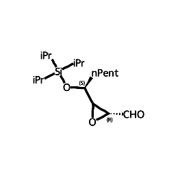 CCCCC[C@H](O[Si](C(C)C)(C(C)C)C(C)C)C1O[C@H]1C=O